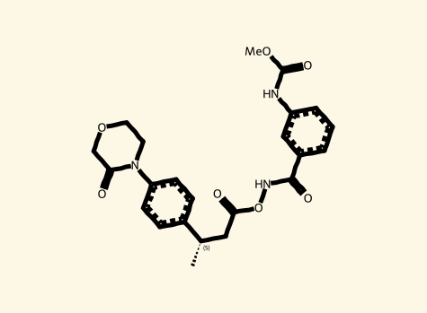 COC(=O)Nc1cccc(C(=O)NOC(=O)C[C@H](C)c2ccc(N3CCOCC3=O)cc2)c1